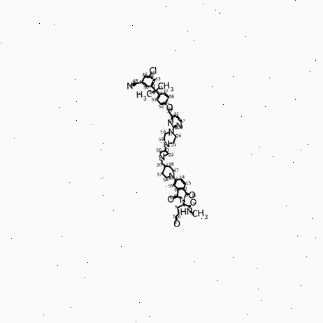 CNC(=O)C(CCC=O)N1C(=O)c2ccc(N3CCC(CN4CC(N5CCN(c6nccc(COc7ccc(C(C)(C)c8cc(Cl)cc(C#N)c8)cc7)n6)CC5)C4)CC3)cc2C1=O